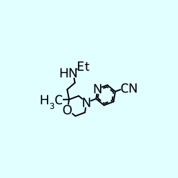 CCNCCC1(C)CN(c2ccc(C#N)cn2)CCO1